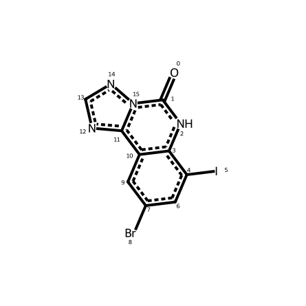 O=c1[nH]c2c(I)cc(Br)cc2c2ncnn12